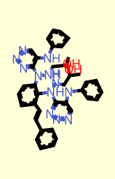 CC(O)CNN(c1cccc(C=Cc2ccccc2)c1N(NCC(C)O)c1nnncc1Nc1ccccc1)c1nnncc1Nc1ccccc1